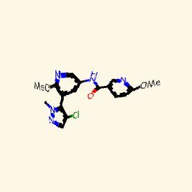 COc1ccc(C(=O)Nc2cnc(OC)c(-c3c(Cl)cnn3C)c2)cn1